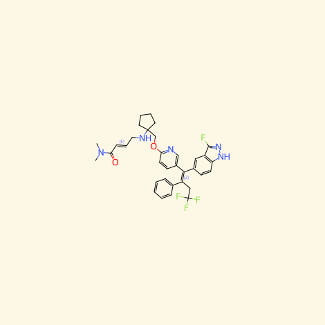 CN(C)C(=O)/C=C/CNC1(COc2ccc(/C(=C(/CC(F)(F)F)c3ccccc3)c3ccc4[nH]nc(F)c4c3)cn2)CCCC1